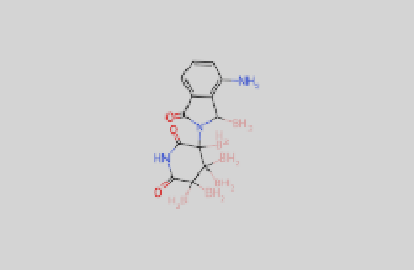 BC1c2c(N)cccc2C(=O)N1C1(B)C(=O)NC(=O)C(B)(B)C1(B)B